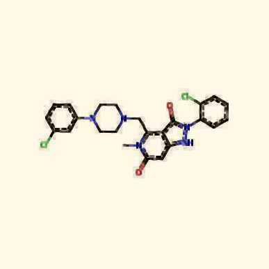 Cn1c(CN2CCN(c3cccc(Cl)c3)CC2)c2c(=O)n(-c3ccccc3Cl)[nH]c2cc1=O